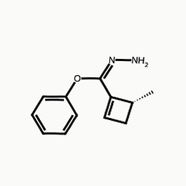 C[C@@H]1CC=C1/C(=N\N)Oc1ccccc1